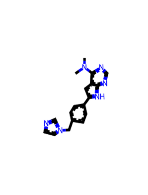 CN(C)c1ncnc2[nH]c(-c3ccc(Cn4ccnc4)cc3)cc12